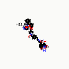 O=C(c1ccc(CCNC[C@@H](O)c2ccc(O)c3[nH]c(=O)ccc23)cc1)N1CCC(COc2cccc(C(c3ccccc3)N(C(=O)O)[C@H]3CN4CCC3CC4)c2)CC1